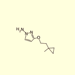 CC1(CCOc2ccn(N)n2)CC1